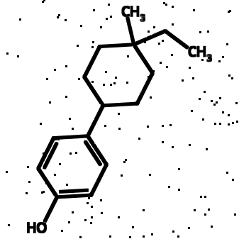 CCC1(C)CCC(c2ccc(O)cc2)CC1